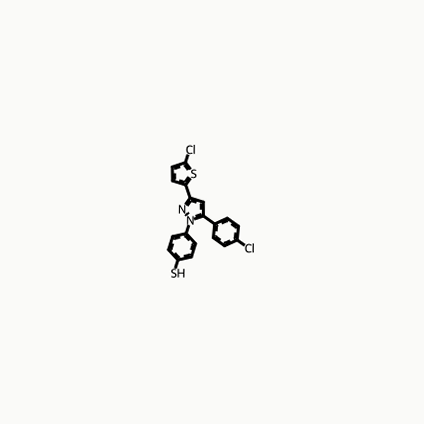 Sc1ccc(-n2nc(-c3ccc(Cl)s3)cc2-c2ccc(Cl)cc2)cc1